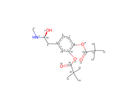 CN[C@@H](O)Cc1ccc(OC(=O)C(C)(C)C)c(OC(=O)C(C)(C)C)c1